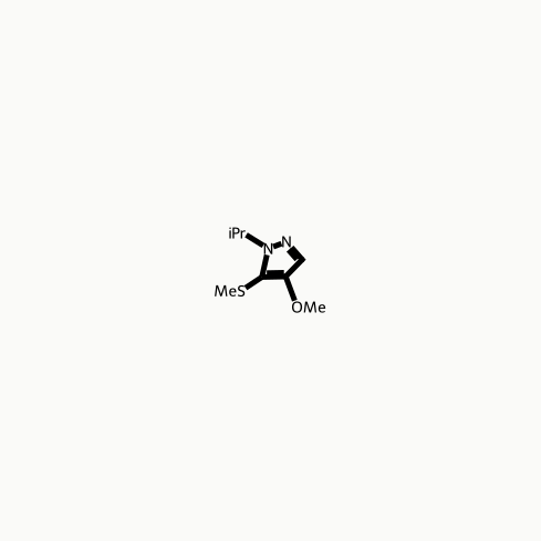 COc1cnn(C(C)C)c1SC